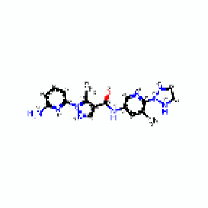 N#Cc1cc(NC(=O)c2cnn(-c3cccc(N)n3)c2C(F)(F)F)cnc1N1N=CCN1